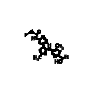 CC[C@@H](O)c1cc(C)c(Nc2nc(C)cn2-c2cc(NC(=O)[C@H]3C[C@H]3F)ncn2)cn1